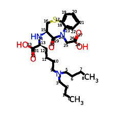 CCCCN(CCCC)CCCC[C@H](N[C@H]1CSc2ccccc2N(CC(=O)O)C1=O)C(=O)O